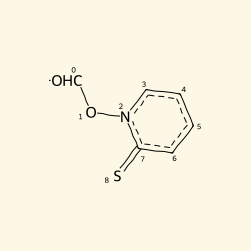 O=[C]On1ccccc1=S